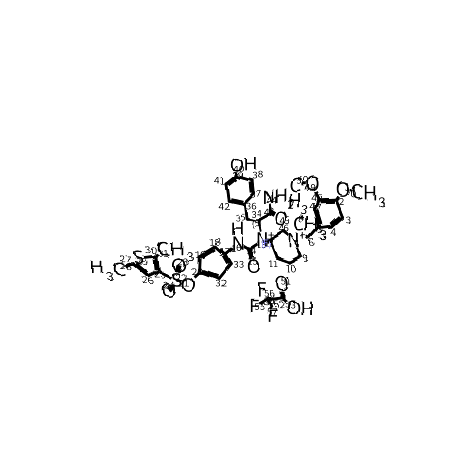 COc1ccc(C[N+]2(C)CCC/C(=[N+](\C(=O)Nc3ccc(OS(=O)(=O)c4cc(C)sc4C)cc3)[C@@H](Cc3ccc(O)cc3)C(N)=O)C2)cc1OC.O=C(O)C(F)(F)F